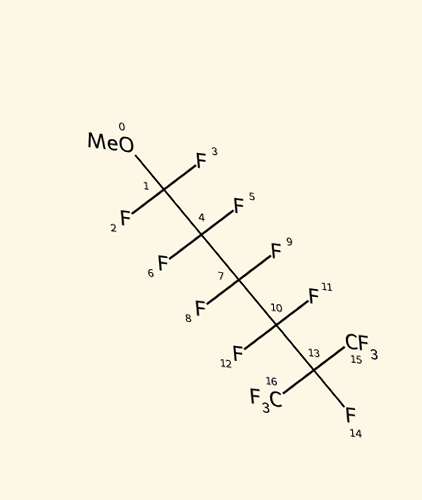 COC(F)(F)C(F)(F)C(F)(F)C(F)(F)C(F)(C(F)(F)F)C(F)(F)F